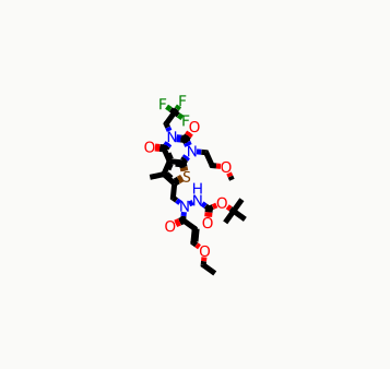 CCOC=CC(=O)N(Cc1sc2c(c1C)c(=O)n(CC(F)(F)F)c(=O)n2CCOC)NC(=O)OC(C)(C)C